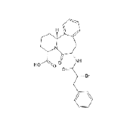 O=C(N[C@H]1Cc2ccccc2[C@H]2CCC[C@@H](C(=O)O)N2C1=O)[C@H](Br)Cc1ccccc1